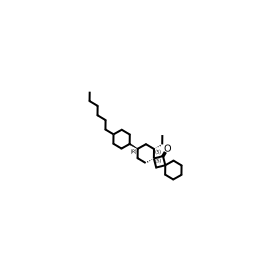 CCCCCCC1CCC([C@@H]2CC[C@]3(CC4(CCCCC4)C3=O)[C@@H](CC)C2)CC1